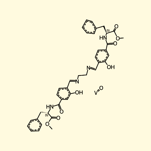 COC(=O)[C@H](Cc1ccccc1)NC(=O)c1ccc(C=NCCN=Cc2ccc(C(=O)N[C@@H](Cc3ccccc3)C(=O)OC)cc2O)c(O)c1.[O]=[V]